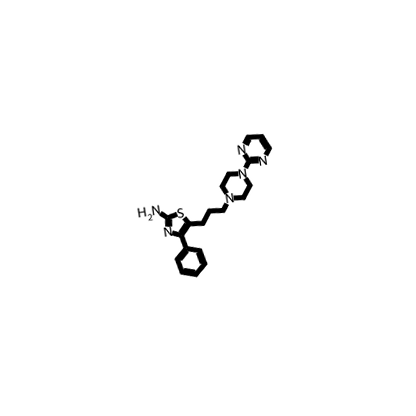 Nc1nc(-c2ccccc2)c(CCCN2CCN(c3ncccn3)CC2)s1